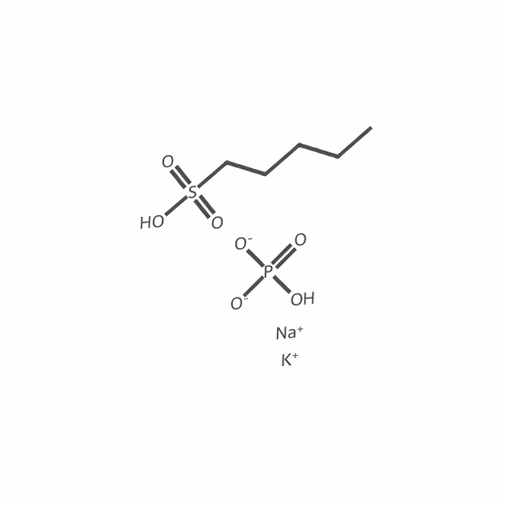 CCCCCS(=O)(=O)O.O=P([O-])([O-])O.[K+].[Na+]